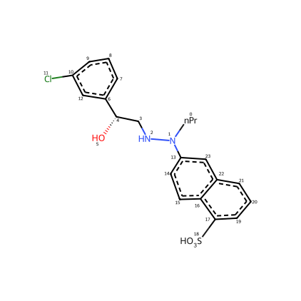 CCCN(NC[C@H](O)c1cccc(Cl)c1)c1ccc2c(S(=O)(=O)O)cccc2c1